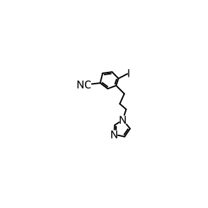 N#Cc1ccc(I)c(CCCn2ccnc2)c1